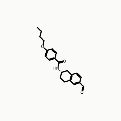 CCCCOc1ccc(C(=O)N[C@H]2CCc3cc(C=O)ccc3C2)cc1